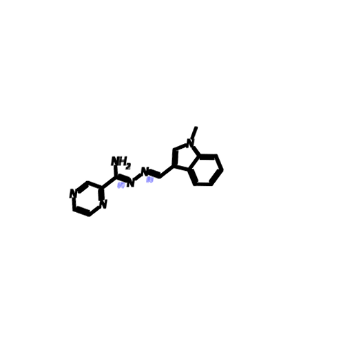 Cn1cc(/C=N/N=C(\N)c2cnccn2)c2ccccc21